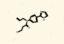 C=CCN(C(=O)CCCl)c1ccc(-c2ncc[nH]2)cc1